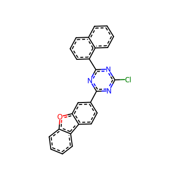 Clc1nc(-c2ccc3c(c2)oc2ccccc23)nc(-c2cccc3ccccc23)n1